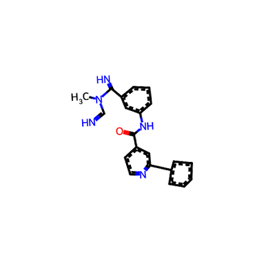 CN(C=N)C(=N)c1cccc(NC(=O)c2ccnc(-c3ccccc3)c2)c1